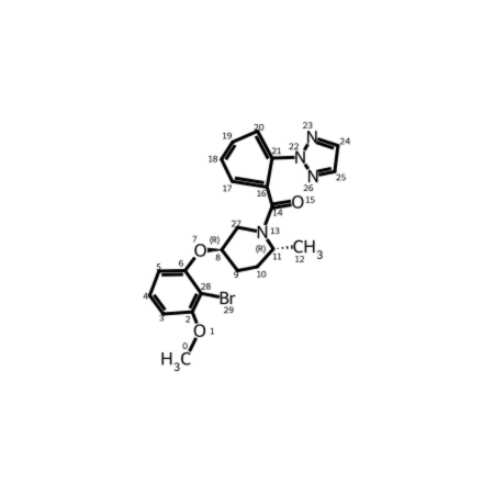 COc1cccc(O[C@@H]2CC[C@@H](C)N(C(=O)c3ccccc3-n3nccn3)C2)c1Br